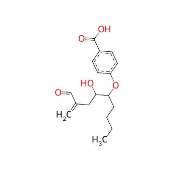 C=C(C=O)CC(O)C(CCCC)Oc1ccc(C(=O)O)cc1